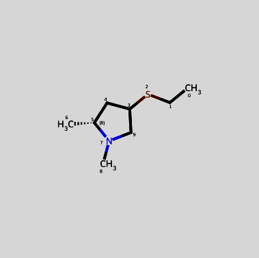 CCSC1C[C@@H](C)N(C)C1